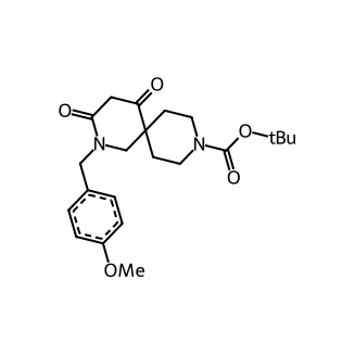 COc1ccc(CN2CC3(CCN(C(=O)OC(C)(C)C)CC3)C(=O)CC2=O)cc1